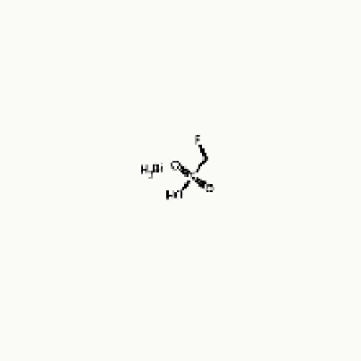 O=S(=O)(O)CF.[BiH3]